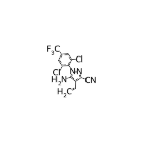 C=Cc1c(C#N)nn(-c2c(Cl)cc(C(F)(F)F)cc2Cl)c1N